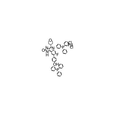 Cn1c(=O)[nH]c2c3cc(-c4ccc(O)cc4)c(F)cc3nc(C3CCOCC3)c21.[Cl][Pd][Cl].c1ccc(P(c2ccccc2)c2ccccc2)cc1.c1ccc(P(c2ccccc2)c2ccccc2)cc1